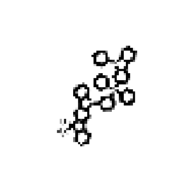 CC1(C)c2ccccc2-c2cc3c(cc21)c1ccccc1n3-c1cccc(S(c2ccccc2)(c2ccccc2)c2ccc3c4ccccc4n(-c4ccccc4)c3c2)c1